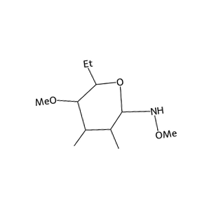 CCC1OC(NOC)C(C)C(C)C1OC